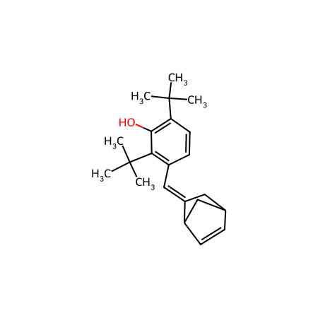 CC(C)(C)c1ccc(C=C2CC3C=CC2C3)c(C(C)(C)C)c1O